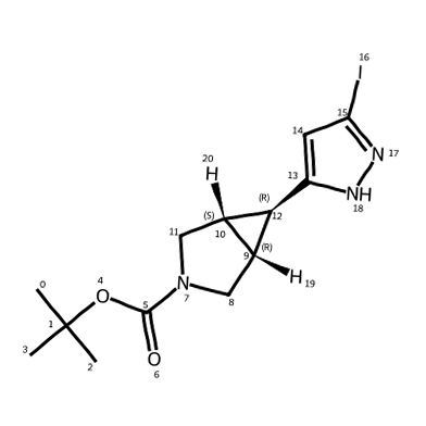 CC(C)(C)OC(=O)N1C[C@@H]2[C@H](C1)[C@H]2c1cc(I)n[nH]1